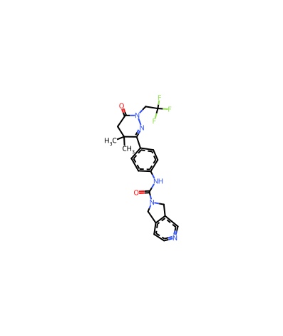 CC1(C)CC(=O)N(CC(F)(F)F)N=C1c1ccc(NC(=O)N2Cc3ccncc3C2)cc1